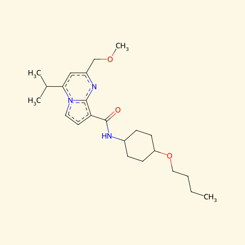 CCCCOC1CCC(NC(=O)c2ccn3c(C(C)C)cc(COC)nc23)CC1